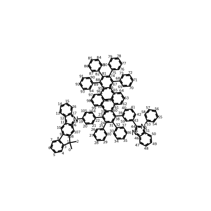 CC1(C)c2ccccc2-c2cc3c4ccccc4n(-c4ccc(-c5c(-c6ccccc6)c(-c6ccccc6)c(-c6cccc(-c7nc8ccccc8n7-c7ccccc7)c6)c6c7cccc8c9c(-c%10ccccc%10)c(-c%10ccccc%10)c(-c%10ccccc%10)c(-c%10ccccc%10)c9c9cccc(c56)c9c87)cc4)c3cc21